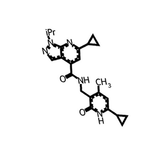 Cc1cc(C2CC2)[nH]c(=O)c1CNC(=O)c1cc(C2CC2)nc2c1cnn2C(C)C